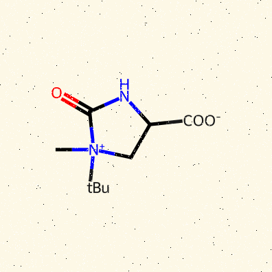 CC(C)(C)[N+]1(C)CC(C(=O)[O-])NC1=O